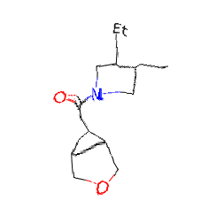 CCC1CN(C(=O)C2C3COCC32)CC1C